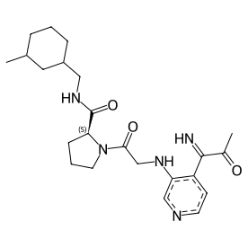 CC(=O)C(=N)c1ccncc1NCC(=O)N1CCC[C@H]1C(=O)NCC1CCCC(C)C1